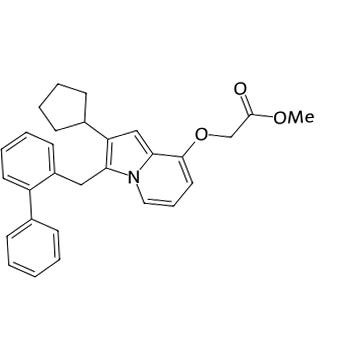 COC(=O)COc1cccn2c(Cc3ccccc3-c3ccccc3)c(C3CCCC3)cc12